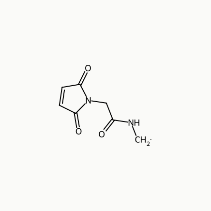 [CH2]NC(=O)CN1C(=O)C=CC1=O